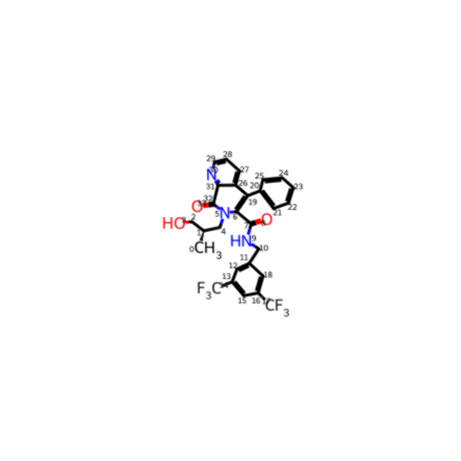 C[C@@H](CO)Cn1c(C(=O)NCc2cc(C(F)(F)F)cc(C(F)(F)F)c2)c(-c2ccccc2)c2cccnc2c1=O